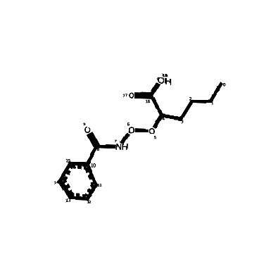 CCCCC(OONC(=O)c1ccccc1)C(=O)O